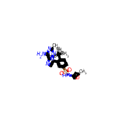 BC(B)(B)c1ccc(S(=O)(=O)NC23COC(C)(C2)C3)cc1-c1cnc2c(N)nc(C)nn12